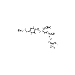 CCCCCCCCCCCCc1ccc(OCC(COP(O)OCCN(C)C)OC=O)cc1